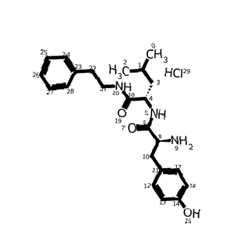 CC(C)C[C@H](NC(=O)[C@@H](N)Cc1ccc(O)cc1)C(=O)NCCc1ccccc1.Cl